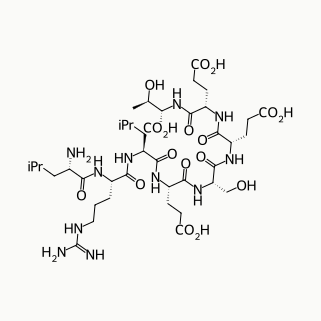 CC(C)C[C@H](NC(=O)[C@H](CCCNC(=N)N)NC(=O)[C@@H](N)CC(C)C)C(=O)N[C@@H](CCC(=O)O)C(=O)N[C@@H](CO)C(=O)N[C@@H](CCC(=O)O)C(=O)N[C@@H](CCC(=O)O)C(=O)N[C@H](C(=O)O)[C@@H](C)O